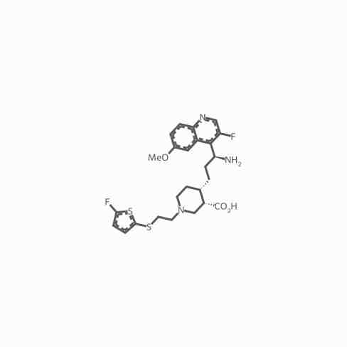 COc1ccc2ncc(F)c([C@@H](N)CC[C@H]3CCN(CCSc4ccc(F)s4)C[C@H]3C(=O)O)c2c1